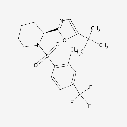 CC(C)(C)c1cnc([C@@H]2CCCCN2S(=O)(=O)c2ccc(C(F)(F)F)cc2Cl)o1